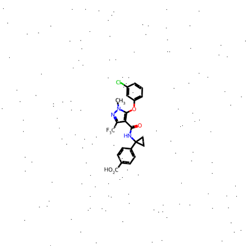 Cn1nc(C(F)(F)F)c(C(=O)NC2(c3ccc(C(=O)O)cc3)CC2)c1Oc1cccc(Cl)c1